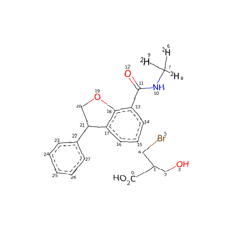 O=C(O)C(CO)CBr.[2H]C([2H])([2H])NC(=O)c1cccc2c1OCC2c1ccccc1